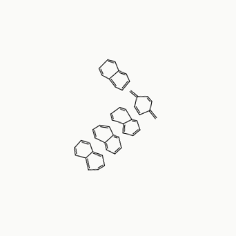 C=c1ccc(=C)cc1.c1ccc2ccccc2c1.c1ccc2ccccc2c1.c1ccc2ccccc2c1.c1ccc2ccccc2c1